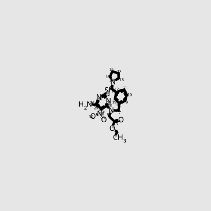 CCOC(=O)CN(Cc1cccc(CN2CCCC2)c1)c1nc(S)nc(N)c1[N+](=O)[O-]